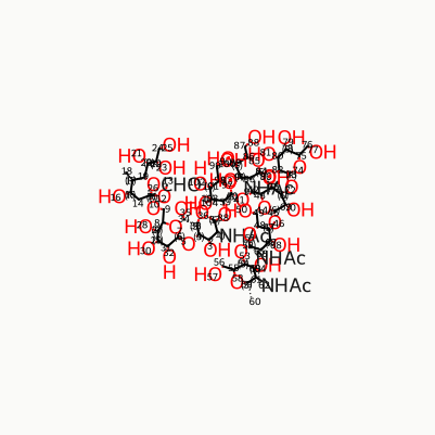 CC(=O)NC1C(O)[C@H](O[C@@H]2OC(CO[C@]3(OC=O)C[C@@H](O)[C@@H](C)C([C@H](O)[C@H](O)CO)O3)[C@H](O)[C@H](O)C2O)[C@H](CO)O[C@H]1OC1[C@@H](OCC2O[C@@H](O[C@@H]3C(CO)O[C@@H](O[C@@H]4C(CO)O[C@@H](C)C(NC(C)=O)[C@H]4O)C(NC(C)=O)[C@H]3O)C(O)[C@@H](O[C@H]3OC(CO)[C@@H](O)C(O)C3O[C@@H]3OC(CO)[C@@H](O)[C@H](O)C3NC(C)=O)[C@@H]2O)OC(CO)[C@@H](O)[C@@H]1O